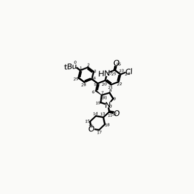 CC(C)(C)c1ccc(C(=C[C@H]2CCN(C(=O)C3CCOCC3)C2)c2ccc(Cl)c(=O)[nH]2)cc1